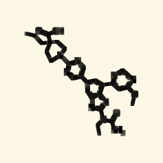 CCCC1(C(=O)O)CCN(c2ncc(-c3cc(-c4cc(OC)ncn4)c4sc(N(CC)C(N)=O)nc4c3)cn2)CC1